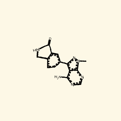 Cn1nc(-c2ccc3c(c2)C(=O)NC3)c2c(N)ncnc21